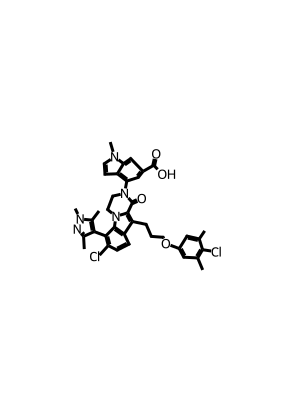 Cc1cc(OCCCc2c3n(c4c(-c5c(C)nn(C)c5C)c(Cl)ccc24)CCN(c2cc(C(=O)O)cc4c2ccn4C)C3=O)cc(C)c1Cl